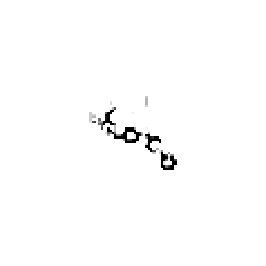 CCOc1nn(Cc2ccc(OC3CCN(c4ccccn4)CC3)cc2)cc1CCC(=O)O